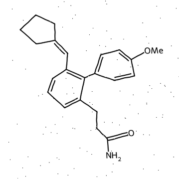 COc1ccc(-c2c(C=C3CCCC3)cccc2CCC(N)=O)cc1